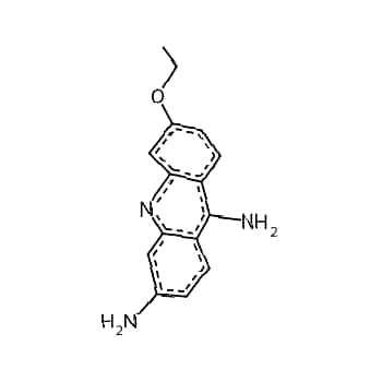 CCOc1ccc2c(N)c3ccc(N)cc3nc2c1